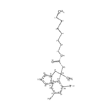 CCCCCCCCOC(=O)CC(O)(Cn1cncn1)c1ccc(F)cc1F